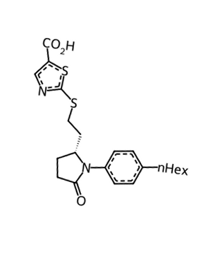 CCCCCCc1ccc(N2C(=O)CC[C@@H]2CCSc2ncc(C(=O)O)s2)cc1